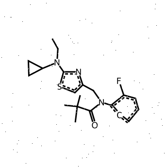 CCN(c1nc(CN(C(=O)C(C)(C)C)c2ccccc2F)cs1)C1CC1